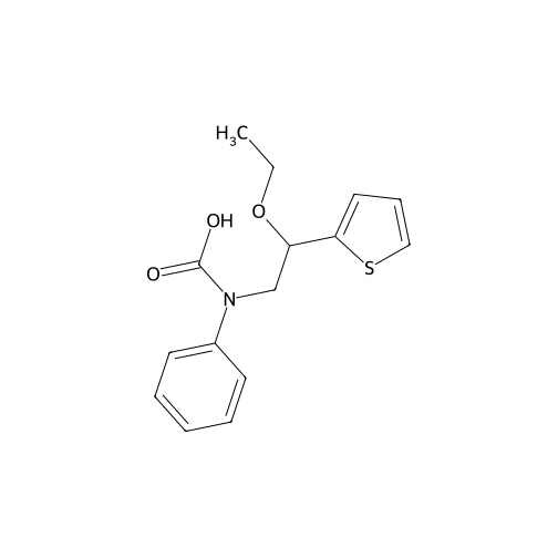 CCOC(CN(C(=O)O)c1ccccc1)c1cccs1